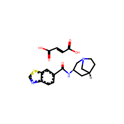 O=C(N[C@@H]1C[C@H]2CCN(C2)C1)c1ccc2ncsc2c1.O=C(O)/C=C/C(=O)O